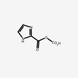 O=C(O)OC(=O)c1ncc[nH]1